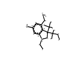 CCN1CC(C(C)(C)C)(C(C)(C)CC)c2c(CN)cc(Cl)cc21